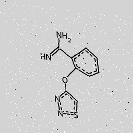 N=C(N)c1ccccc1Oc1csnn1